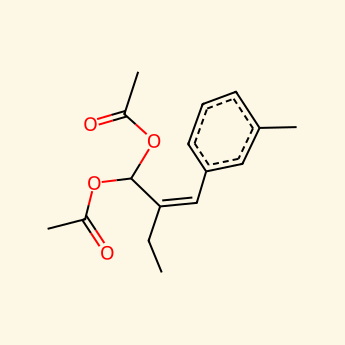 CCC(=Cc1cccc(C)c1)C(OC(C)=O)OC(C)=O